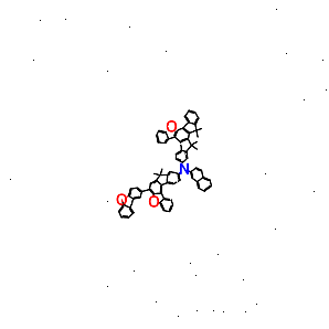 CC1(C)c2cc(N(c3ccc4c(c3)C(C)(C)c3c5c(c6oc7ccccc7c6c3-4)-c3ccccc3C5(C)C)c3ccc4ccccc4c3)ccc2-c2c1cc(-c1ccc3oc4ccccc4c3c1)c1oc3ccccc3c21